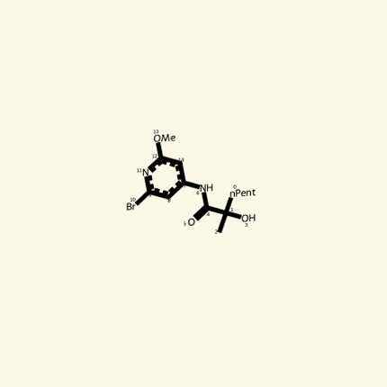 CCCCCC(C)(O)C(=O)Nc1cc(Br)nc(OC)c1